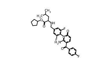 CC(C)CC(NCc1cc(F)c(-n2c(N)c(C(=O)c3ccc(F)cc3)ccc2=O)c(F)c1)C(=O)OC1CCCC1